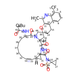 Cc1nc2c(C(F)(F)F)cccc2c2c1O[C@]1(CC2)C[C@H]2C(=O)N[C@]3(C(=O)N4C5(CC5)S4(=O)=O)C[C@H]3/C=C\CCCCC[C@H](NC(=O)OCC(C)C)C(=O)N2C1